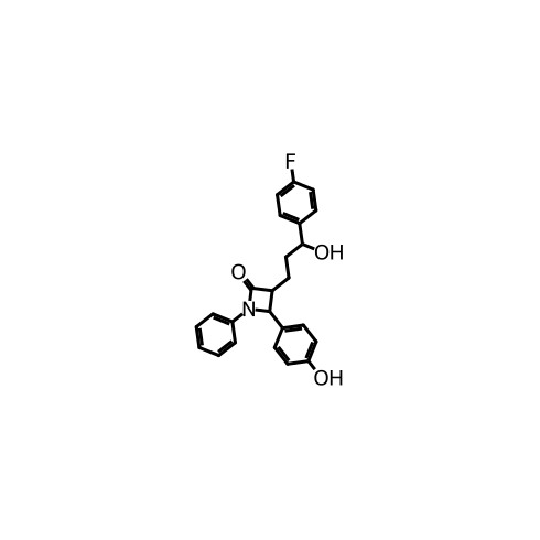 O=C1C(CCC(O)c2ccc(F)cc2)C(c2ccc(O)cc2)N1c1ccccc1